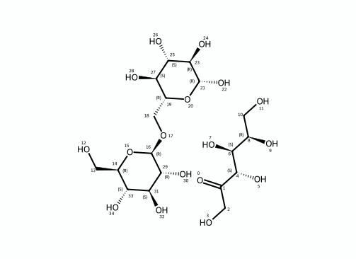 O=C(CO)[C@@H](O)[C@@H](O)[C@H](O)CO.OC[C@H]1O[C@@H](OC[C@H]2O[C@@H](O)[C@H](O)[C@@H](O)[C@@H]2O)[C@H](O)[C@@H](O)[C@@H]1O